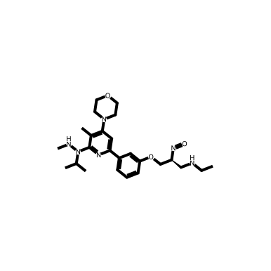 CCNC[C@@H](COc1cccc(-c2cc(N3CCOCC3)c(C)c(N(NC)C(C)C)n2)c1)N=O